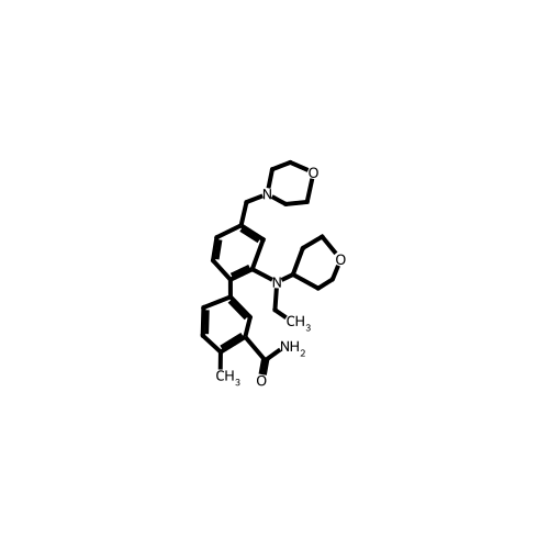 CCN(c1cc(CN2CCOCC2)ccc1-c1ccc(C)c(C(N)=O)c1)C1CCOCC1